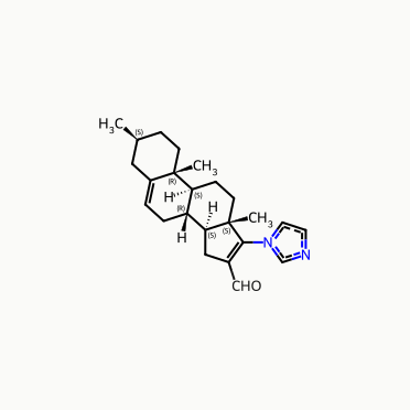 C[C@H]1CC[C@@]2(C)C(=CC[C@@H]3[C@@H]2CC[C@]2(C)C(n4ccnc4)=C(C=O)C[C@@H]32)C1